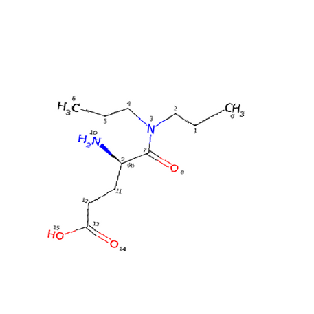 CCCN(CCC)C(=O)[C@H](N)CCC(=O)O